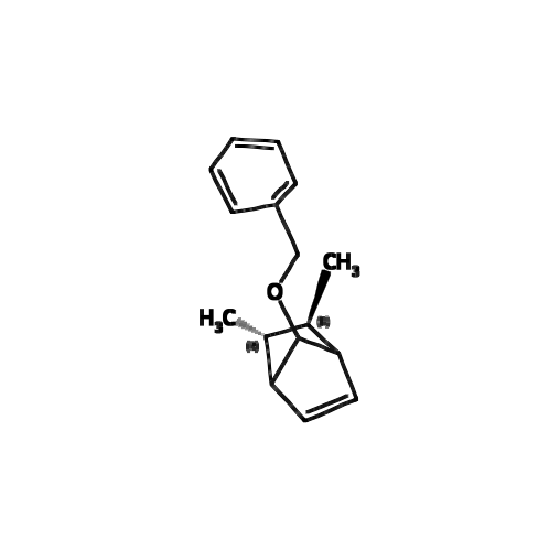 C[C@H]1C2C=CC(C2OCc2ccccc2)[C@@H]1C